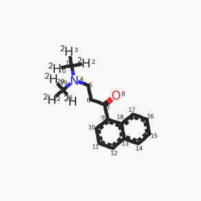 [2H]C([2H])([2H])N(CCC(=O)c1cccc2ccccc12)C([2H])([2H])[2H]